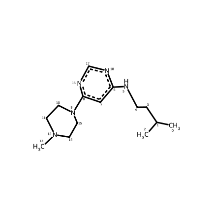 CC(C)CCNc1cc(N2CCN(C)CC2)ncn1